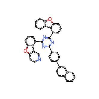 c1ccc2cc(-c3ccc(-c4nc(-c5cccc6oc7ccccc7c56)nc(-c5cccc6oc7ccncc7c56)n4)cc3)ccc2c1